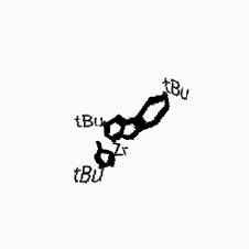 CC1C=C(C(C)(C)C)C=[C]1[Zr][c]1cc(C(C)(C)C)cc2c1Cc1ccc(C(C)(C)C)cc1-2